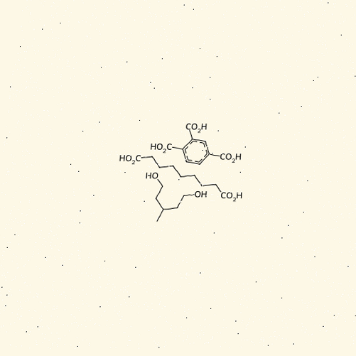 CC(CCO)CCO.O=C(O)CCCCCCCC(=O)O.O=C(O)c1ccc(C(=O)O)c(C(=O)O)c1